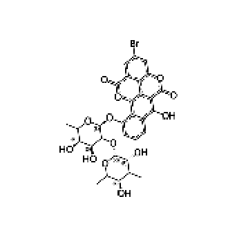 CC1O[C@H](OC2[C@H](Oc3cccc4c(O)c5c(=O)oc6cc(Br)cc7c(=O)oc(c34)c5c67)OC(C)[C@H](O)[C@@H]2O)[C@H](O)C(C)[C@H]1O